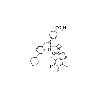 O=C(O)c1ccc(N(Cc2ccc(C3CCCCC3)cc2)C(=O)C2CCN2S(=O)(=O)c2c(F)c(F)c(F)c(F)c2F)cc1